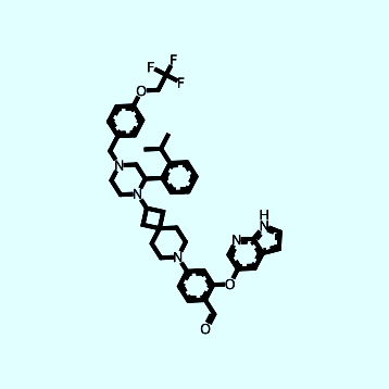 CC(C)c1ccccc1C1CN(Cc2ccc(OCC(F)(F)F)cc2)CCN1C1CC2(CCN(c3ccc(C=O)c(Oc4cnc5[nH]ccc5c4)c3)CC2)C1